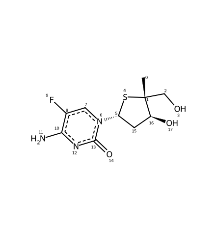 C[C@]1(CO)S[C@@H](n2cc(F)c(N)nc2=O)C[C@@H]1O